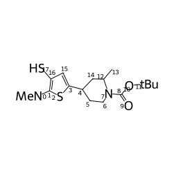 CNc1sc(C2CCN(C(=O)OC(C)(C)C)C(C)C2)cc1S